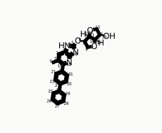 Cc1cc2[nH]c(O[C@@H]3CO[C@H]4[C@@H]3OC[C@H]4O)nc2nc1-c1ccc(-c2ccccc2)cc1